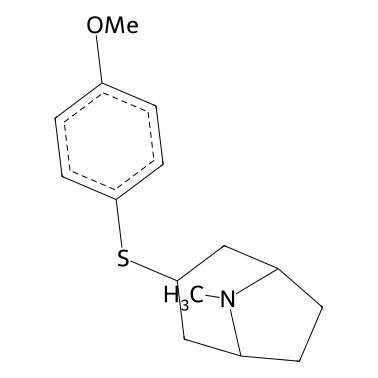 COc1ccc(SC2CC3CCC(C2)N3C)cc1